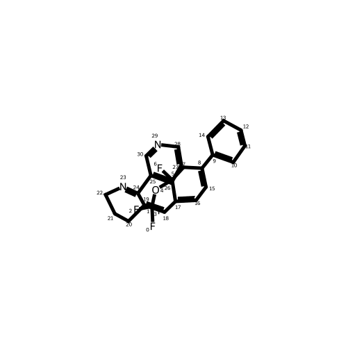 FC(F)(F)OC1(F)CC(c2ccccc2)=CC=C1/C=C1/CCCN=C1c1cccnc1